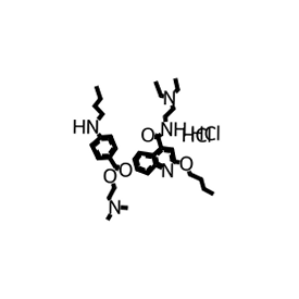 CCCCNc1ccc(C(=O)OCCN(C)C)cc1.CCCCOc1cc(C(=O)NCCN(CC)CC)c2ccccc2n1.Cl.Cl